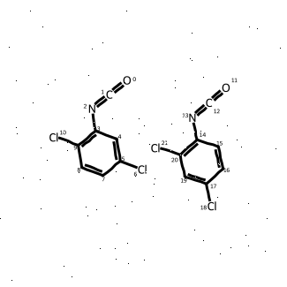 O=C=Nc1cc(Cl)ccc1Cl.O=C=Nc1ccc(Cl)cc1Cl